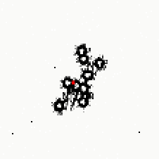 CN1C(c2cccc3oc4cc(-c5ccc(N(c6ccccc6)c6ccc7ccccc7c6)cc5)c5ccccc5c4c23)=NC(c2ccccc2)=NC1c1ccccc1